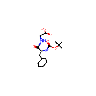 CC(C)(C)OC(=O)N[C@@H](CC1CCCCC1)C(=O)NCC(=O)O